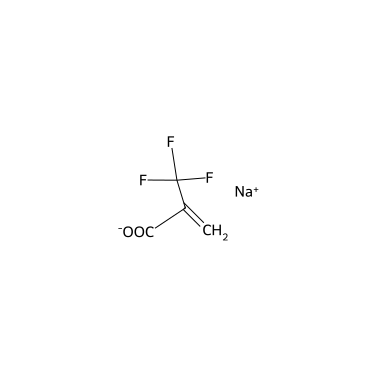 C=C(C(=O)[O-])C(F)(F)F.[Na+]